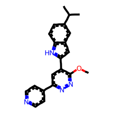 COc1nnc(-c2ccncc2)cc1-c1cc2cc(C(C)C)ccc2[nH]1